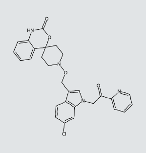 O=C1Nc2ccccc2C2(CCN(OCc3cn(CC(=O)c4ccccn4)c4cc(Cl)ccc34)CC2)O1